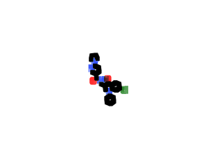 O=C(NCc1cn(-c2ccccc2)c2cc(Cl)ccc2c1=O)c1ccc(N2CCCC2)nc1